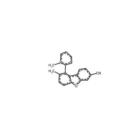 Cc1ccc2oc3cc(C#N)ccc3c2c1-c1cccc[n+]1C